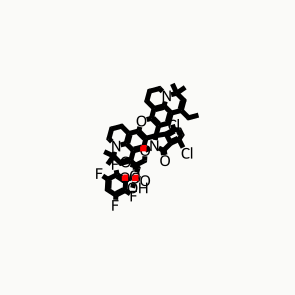 CCC1=CC(C)(C)N2CCCc3c4c(cc1c32)C1(c2cc3c5c(c2O4)CCCN5C(C)(C)C=C3CS(=O)(=O)O)c2c(Cl)ccc(Cl)c2C(=O)N1OCC(=O)Oc1c(F)c(F)cc(F)c1F